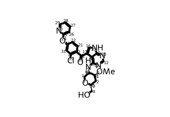 CO[C@@H]1C[C@@H](CO)OC[C@@H]1Nc1ncnc2[nH]cc(C(=O)c3ccc(Oc4ccccn4)cc3Cl)c12